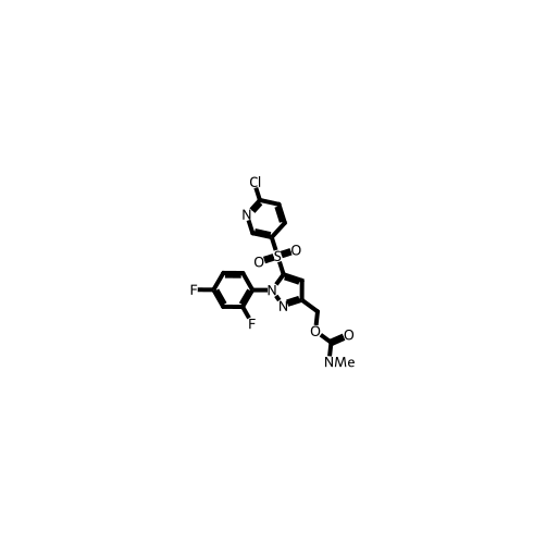 CNC(=O)OCc1cc(S(=O)(=O)c2ccc(Cl)nc2)n(-c2ccc(F)cc2F)n1